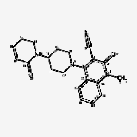 Cn1c(=O)c(C#N)c(N2CCC(N3CCC=CC3=O)CC2)c2ccccc21